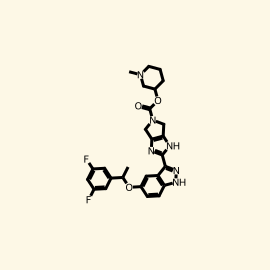 CC(Oc1ccc2[nH]nc(-c3nc4c([nH]3)CN(C(=O)OC3CCCN(C)C3)C4)c2c1)c1cc(F)cc(F)c1